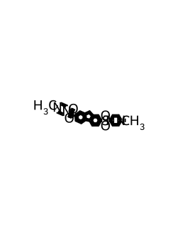 CN1CCN(S(=O)(=O)c2ccc3c(c2)Cc2cc(S(=O)(=O)N4CCN(C)CC4)ccc2-3)CC1